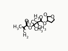 C=C(C)C(=O)OC(C)(C)C(C)(C)C(=O)OC1CCOC1=O